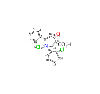 Cn1c(-c2ccccc2Cl)cc(=O)c(C(=O)O)c1-c1ccccc1Cl